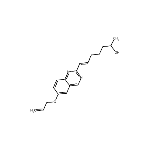 C=CCOc1ccc2nc(C=CCCCC(C)O)ncc2c1